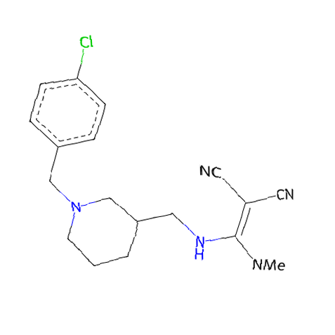 CNC(NCC1CCCN(Cc2ccc(Cl)cc2)C1)=C(C#N)C#N